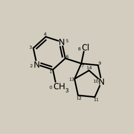 Cc1nccnc1C1(Cl)CN2CCC1C2